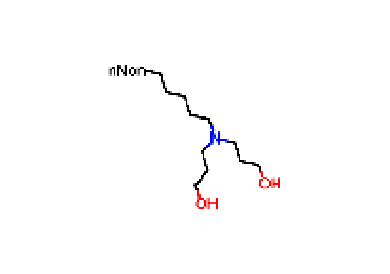 CCCCCCCCCCCCCCN(CCCO)CCCO